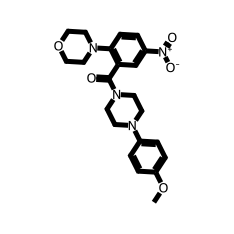 COc1ccc(N2CCN(C(=O)c3cc([N+](=O)[O-])ccc3N3CCOCC3)CC2)cc1